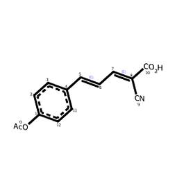 CC(=O)Oc1ccc(/C=C/C=C(\C#N)C(=O)O)cc1